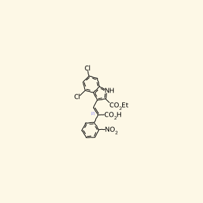 CCOC(=O)c1[nH]c2cc(Cl)cc(Cl)c2c1/C=C(\C(=O)O)c1ccccc1[N+](=O)[O-]